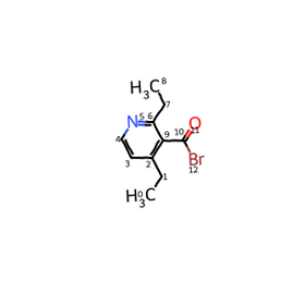 CCc1ccnc(CC)c1C(=O)Br